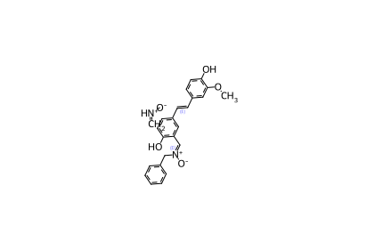 C=[NH+][O-].COc1cc(/C=C/c2ccc(O)c(/C=[N+](/[O-])Cc3ccccc3)c2)ccc1O